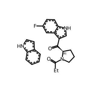 CCC(=O)N1CCC[C@@H]1C(=O)c1c[nH]c2ccc(F)cc12.c1ccc2[nH]ccc2c1